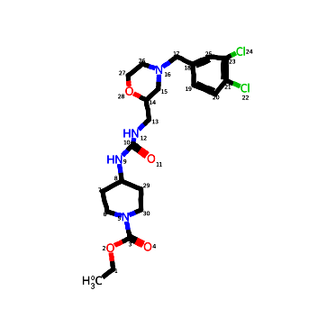 CCOC(=O)N1CCC(NC(=O)NCC2CN(Cc3ccc(Cl)c(Cl)c3)CCO2)CC1